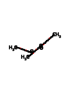 CCCCCCCCCCCCCCCCCCOC(=O)CCCCCCCCCCC(CCCCCC)C(=O)CCCCCCCCCCCCCCCCC